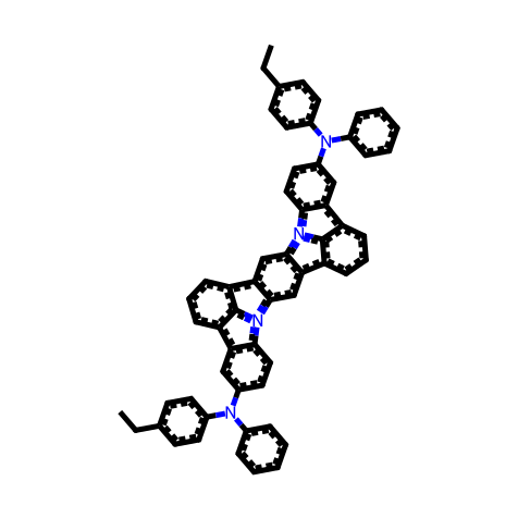 CCc1ccc(N(c2ccccc2)c2ccc3c(c2)c2cccc4c5cc6c(cc5n3c24)c2cccc3c4cc(N(c5ccccc5)c5ccc(CC)cc5)ccc4n6c32)cc1